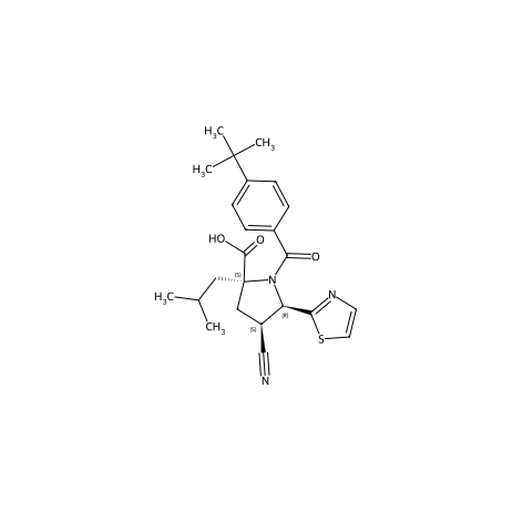 CC(C)C[C@@]1(C(=O)O)C[C@H](C#N)[C@H](c2nccs2)N1C(=O)c1ccc(C(C)(C)C)cc1